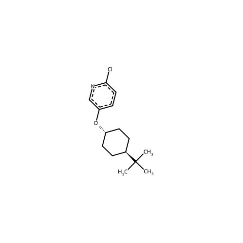 CC(C)(C)[C@H]1CC[C@H](Oc2ccc(Cl)nc2)CC1